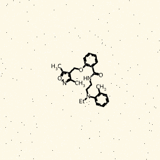 CCN(CCNC(=O)c1ccccc1OCc1c(C)noc1C)c1ccccc1C